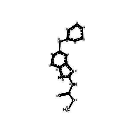 COC(=O)Nc1nc2cc(Oc3ccccc3)ccc2[nH]1